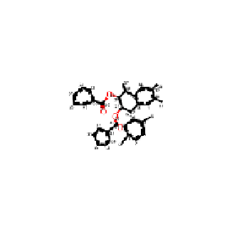 Cc1ccc(C)c([C@H]2c3cc(C)c(C)cc3C(C)C(OC(=O)c3ccccc3)C2OC(=O)c2ccccc2)c1